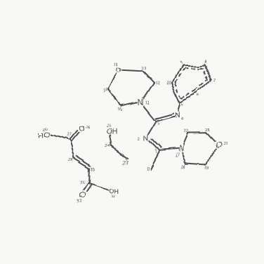 CC(=N/C(=N/c1ccccc1)N1CCOCC1)N1CCOCC1.CCO.O=C(O)C=CC(=O)O